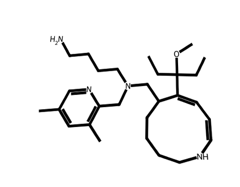 CCC(CC)(OC)/C1=C/C=C\NCCCCC1CN(CCCCN)Cc1ncc(C)cc1C